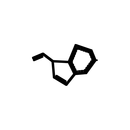 C=CC1C=Cc2c[c]ccc21